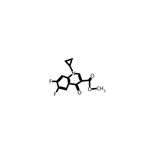 COC(=O)c1cn(C2CC2)c2cc(F)c(F)cc2c1=O